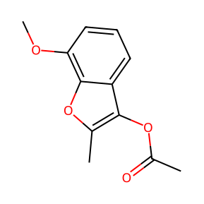 COc1cccc2c(OC(C)=O)c(C)oc12